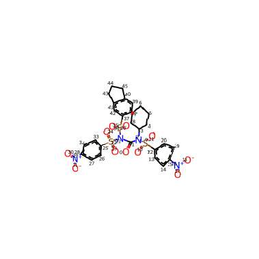 O=C(N(C1CCCCC1)S(=O)(=O)c1ccc([N+](=O)[O-])cc1)N(S(=O)(=O)c1ccc([N+](=O)[O-])cc1)S(=O)(=O)c1ccc2c(c1)CCC2